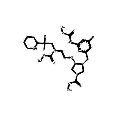 Cc1cc(C[C@H]2CN(C(=O)OC(C)(C)C)C[C@H]2OCCN(CC(F)(F)C2CCCCN2)C(=O)OC(C)(C)C)nc(NC(=O)OC(C)(C)C)c1